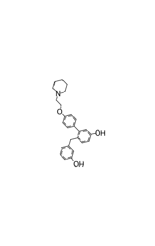 Oc1cccc(Cc2ccc(O)cc2-c2ccc(OCCN3CCCCC3)cc2)c1